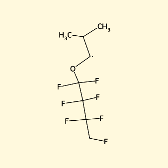 CC(C)[CH]OC(F)(F)C(F)(F)C(F)(F)CF